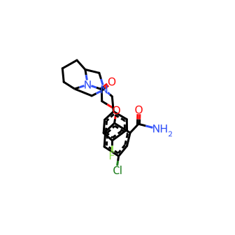 NC(=O)c1cc(Cl)ccc1OCC(=O)N1C2CCCC1CN(Cc1ccc(F)cc1)C2